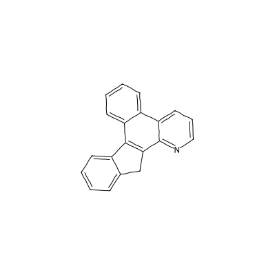 c1ccc2c(c1)Cc1c-2c2ccccc2c2cccnc12